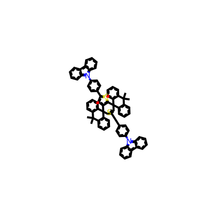 CC1(C)c2ccccc2C2(c3ccccc31)c1cc(-c3ccc(-n4c5ccccc5c5ccccc54)cc3)sc1C1(c3ccccc3C(C)(C)c3ccccc31)c1cc(-c3ccc(-n4c5ccccc5c5ccccc54)cc3)sc12